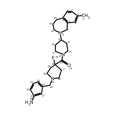 Cc1ccc2c(c1)CN(C1CCN(C(=O)C3(F)CCN(Cc4cccc(N)c4)CC3)CC1)CCC2